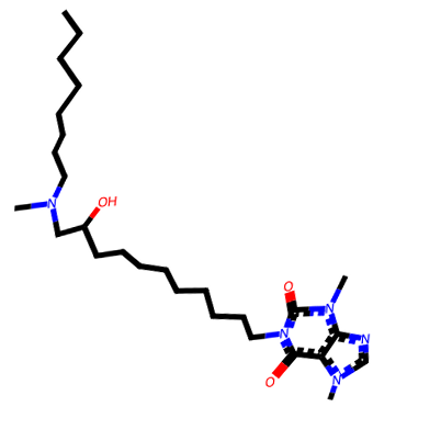 CCCCCCCCN(C)CC(O)CCCCCCCCCn1c(=O)c2c(ncn2C)n(C)c1=O